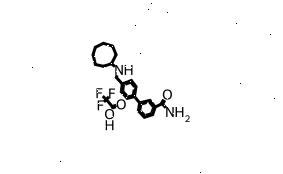 NC(=O)c1cccc(-c2ccc(CNC3CCCCCCC3)cc2)c1.O=C(O)C(F)(F)F